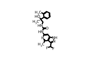 Cc1ccccc1[C@](C)(O)CNC(=O)Nc1cc2[nH]nc(C(F)F)c2c(C)n1